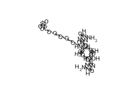 Nc1nc2c(ncn2[C@@H]2O[C@@H]3COP(=O)(S)OC4[C@@H](COP(=O)(S)OC3[C@@H]2O)O[C@@H](n2cnc3c(=O)[nH]c(N)nc32)[C@H]4NC(=O)CCOCCOCCOCCOCCOCCC(=O)ON2C(=O)CCC2=O)c(=O)[nH]1